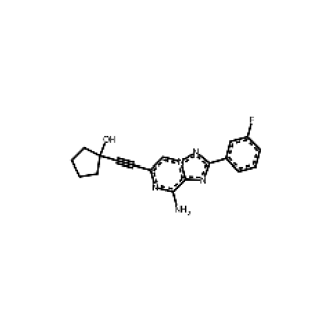 Nc1nc(C#CC2(O)CCCC2)cn2nc(-c3cccc(F)c3)nc12